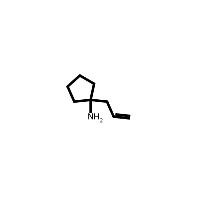 C=CCC1(N)CCCC1